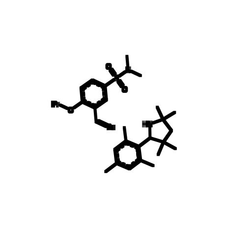 CC(C)Oc1ccc(S(=O)(=O)N(C)C)cc1[CH]=[Ru].Cc1cc(C)c(C2NC(C)(C)CC2(C)C)c(C)c1